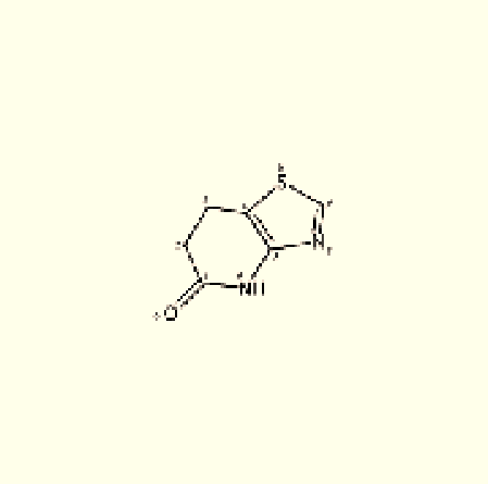 O=C1CCc2scnc2N1